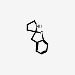 c1ccc2c(c1)CC1(CCCN1)O2